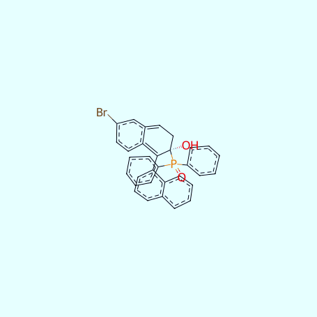 O=P(c1ccccc1)(c1ccccc1)[C@]1(O)CC=c2cc(Br)ccc2=C1c1cccc2ccccc12